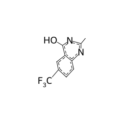 Cc1nc(O)c2cc(C(F)(F)F)ccc2n1